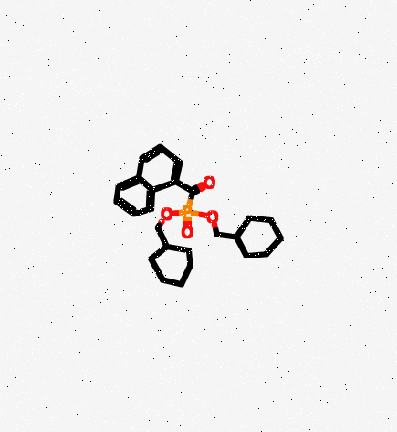 O=C(c1cccc2ccccc12)P(=O)(OCC1CCCCC1)OCC1CCCCC1